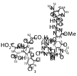 CC1COc2ccccc2N1C(=O)C(Cl)Cl.CCNc1nc(Cl)nc(NC(C)C)n1.COc1cc(OC)nc(NC(=O)NS(=O)(=O)c2ncccc2C(=O)N(C)C)n1.CP(=O)(O)CCC(N)C(=O)O.C[C@H](OC(=O)c1cc(Oc2ccc(C(F)(F)F)cc2Cl)ccc1Cl)C(=O)O